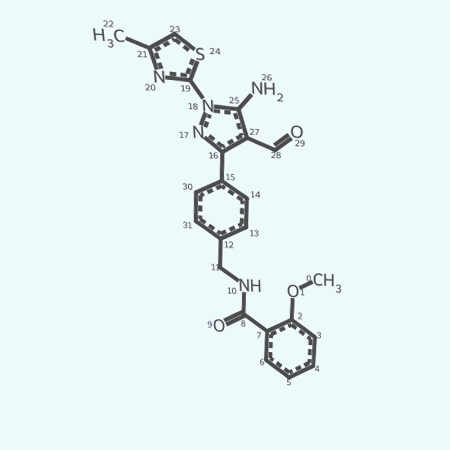 COc1ccccc1C(=O)NCc1ccc(-c2nn(-c3nc(C)cs3)c(N)c2C=O)cc1